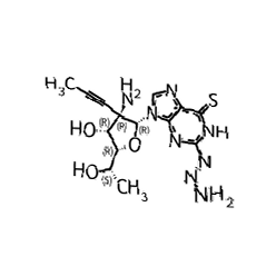 CC#C[C@@]1(N)[C@@H](O)[C@@H]([C@H](C)O)O[C@H]1n1cnc2c(=S)[nH]c(N=NN)nc21